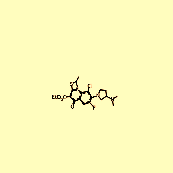 CCOC(=O)c1c2n(c3c(Cl)c(N4CCC(N(C)C)C4)c(F)cc3c1=O)C(C)S2